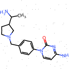 CC(N)C1CCN(Cc2ccc(-n3ccc(N)nc3=O)cc2)C1